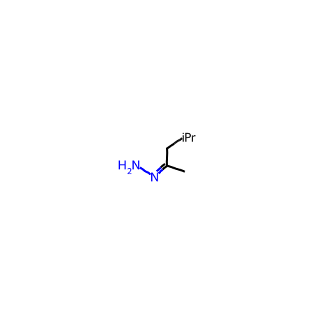 C/C(CC(C)C)=N/N